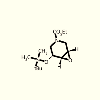 CCOC(=O)N1C[C@@H]2O[C@@H]2[C@H](O[Si](C)(C)C(C)(C)C)C1